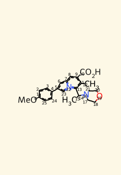 COc1ccc(-c2cc3cc(C(=O)O)c(C)c(C(C)N4CCOCC4)n3c2)cc1